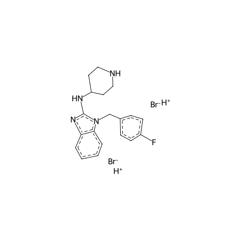 Fc1ccc(Cn2c(NC3CCNCC3)nc3ccccc32)cc1.[Br-].[Br-].[H+].[H+]